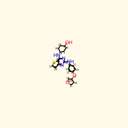 OC1CCC(Nc2nc(Nc3ccc(OC4CCOC4)cc3)nc3ccsc23)CC1